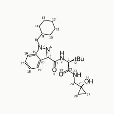 CC(C)(C)[C@H](NC(=O)c1nn(CC2CCCCC2)c2ccccc12)C(=O)NCC1(O)CC1